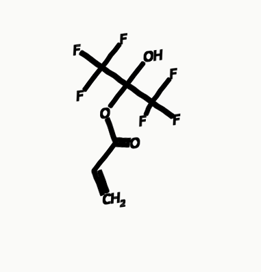 C=CC(=O)OC(O)(C(F)(F)F)C(F)(F)F